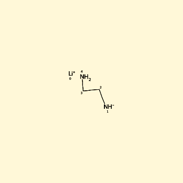 [Li+].[NH-]CCN